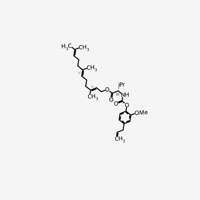 C=CCc1ccc(OC(=O)N[C@H](C(=O)OC/C=C(\C)CC/C=C(\C)CCC=C(C)C)C(C)C)c(OC)c1